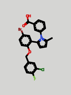 Cc1ccc(-c2cc(Br)ccc2OCc2ccc(F)c(Cl)c2)n1-c1cccc(C(=O)O)c1